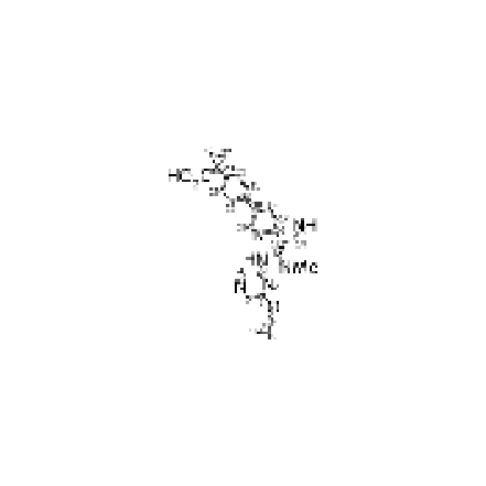 CN/C(Nc1cncc(OC2CC2)n1)=C(\C=N)c1ccc(-c2ccc(C3(C(=O)O)CC3)cc2)cn1